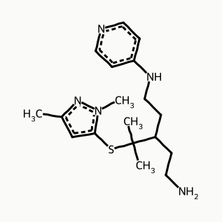 Cc1cc(SC(C)(C)C(CCN)CCNc2ccncc2)n(C)n1